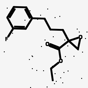 CCOC(=O)C1(CCCc2cccc(F)c2)CO1